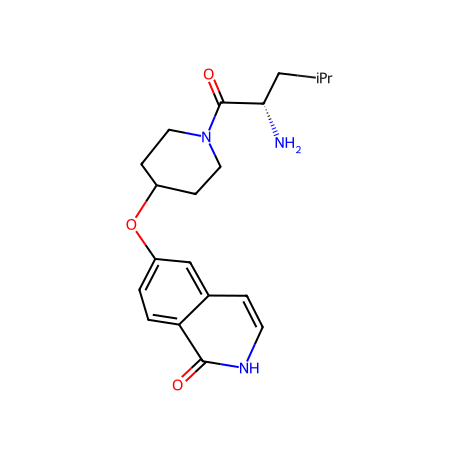 CC(C)C[C@H](N)C(=O)N1CCC(Oc2ccc3c(=O)[nH]ccc3c2)CC1